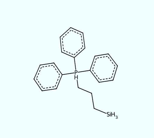 [SiH3]CCC[PH](c1ccccc1)(c1ccccc1)c1ccccc1